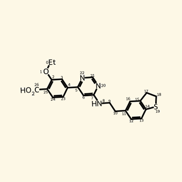 CCOc1cc(-c2cc(NCCc3ccc4c(c3)CCS4)ncn2)ccc1C(=O)O